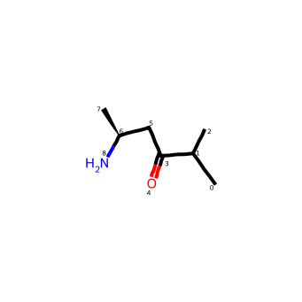 CC(C)C(=O)C[C@H](C)N